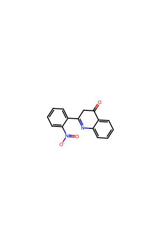 O=C1CC(c2ccccc2[N+](=O)[O-])=Nc2ccccc21